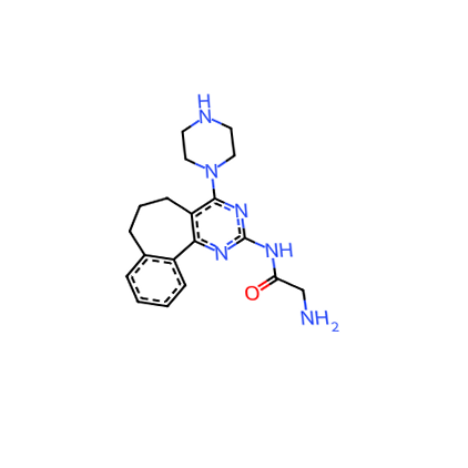 NCC(=O)Nc1nc2c(c(N3CCNCC3)n1)CCCc1ccccc1-2